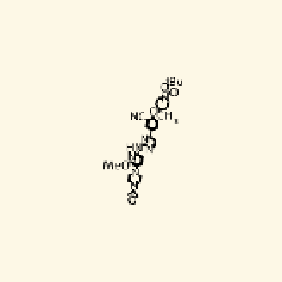 COc1nc(Nc2nccc(-c3ccc(OC4(C)CCN(C(=O)OC(C)(C)C)CC4)c(C#N)c3)n2)ccc1N1CCN(C2COC2)CC1